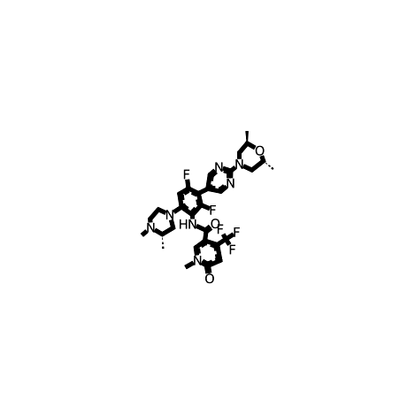 C[C@@H]1CN(c2ncc(-c3c(F)cc(N4CCN(C)[C@@H](C)C4)c(NC(=O)c4cn(C)c(=O)cc4C(F)(F)F)c3F)cn2)C[C@@H](C)O1